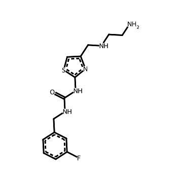 NCCNCc1csc(NC(=O)NCc2cccc(F)c2)n1